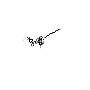 CCCCCCCCCCCCNC(=O)N1C(=O)/C(=N\NC(=O)c2ccc(O)cc2)c2cc(I)ccc21